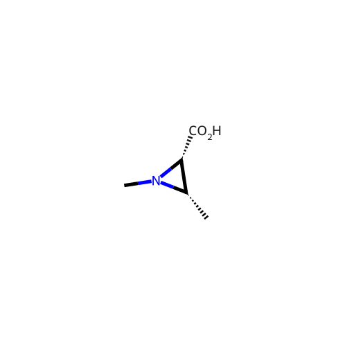 C[C@H]1[C@@H](C(=O)O)N1C